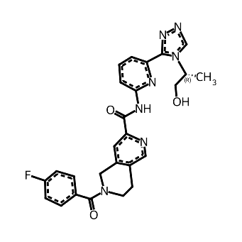 C[C@H](CO)n1cnnc1-c1cccc(NC(=O)c2cc3c(cn2)CCN(C(=O)c2ccc(F)cc2)C3)n1